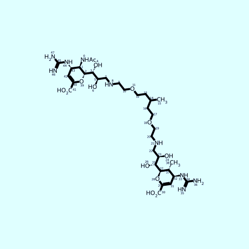 CC(=O)N[C@H]1[C@H]([C@H](O)[C@H](O)CNCCOCCC(C)CCOCCNC[C@@H](O)[C@@H](O)[C@@H]2OC(C(=O)O)=C[C@H](NC(=N)N)[C@H]2C)OC(C(=O)O)=C[C@@H]1NC(=N)N